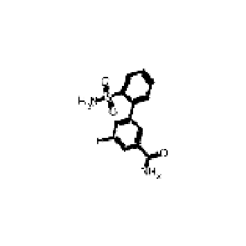 NC(=O)c1[c]c(F)cc(-c2ccccc2S(N)(=O)=O)c1